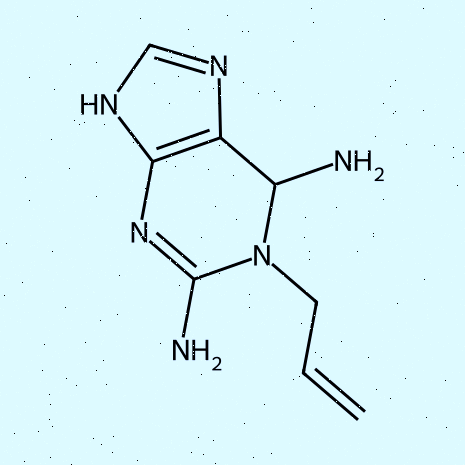 C=CCN1C(N)=Nc2[nH]cnc2C1N